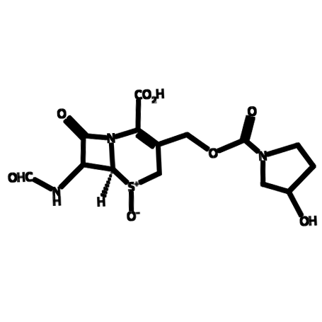 O=CNC1C(=O)N2C(C(=O)O)=C(COC(=O)N3CCC(O)C3)C[S+]([O-])[C@@H]12